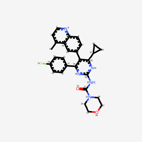 Cc1ccnc2ccc(-c3c(-c4ccc(F)cc4)nc(NC(=O)N4CCOCC4)nc3C3CC3)cc12